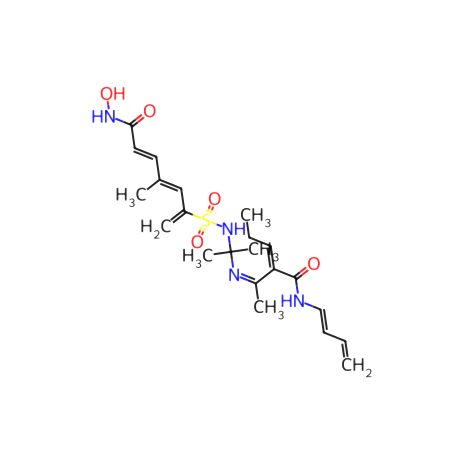 C=C/C=C/NC(=O)C(=C/CC)/C(C)=N\C(C)(C)NS(=O)(=O)C(=C)/C=C(C)/C=C/C(=O)NO